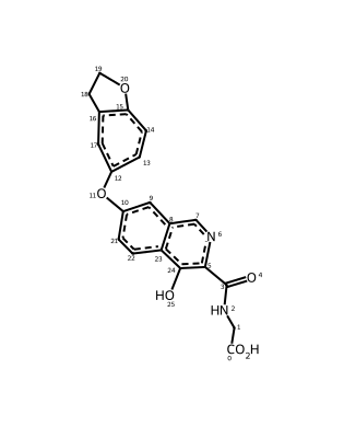 O=C(O)CNC(=O)c1ncc2cc(Oc3ccc4c(c3)CCO4)ccc2c1O